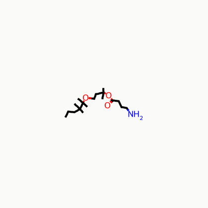 CCCC(C)(C)C(C)(C)OCCC(C)(C)OC(=O)CCCN